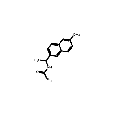 COc1ccc2cc(C(C)NC(N)=O)ccc2c1